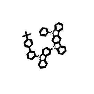 CC(C)(C)c1ccc(-c2cccc(-n3c4ccccc4c4cc(-n5c6ccccc6c6cc7c8ccccc8n(-c8ccccc8)c7cc65)ccc43)c2)cc1